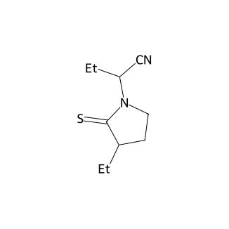 CCC1CCN(C(C#N)CC)C1=S